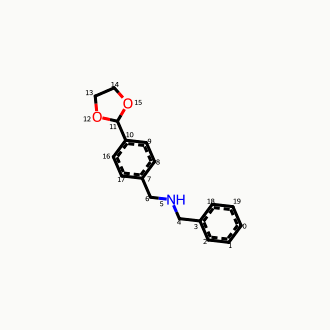 c1ccc(CNCc2ccc(C3OCCO3)cc2)cc1